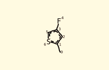 Cc1cc(F)[c]s1